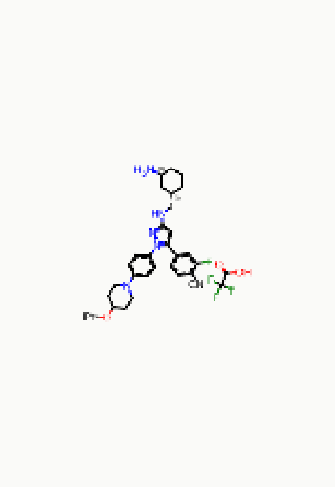 CC(C)OC1CCN(c2ccc(-n3nc(NC[C@H]4CCC[C@H](N)C4)cc3-c3ccc(C#N)c(F)c3)cc2)CC1.O=C(O)C(F)(F)F